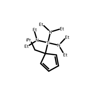 CC[N](CC)[Ti]([N](CC)CC)([N](CC)CC)[C]1(CC(C)C)C=CC=C1